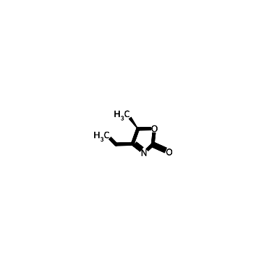 CCC1=NC(=O)O[C@@H]1C